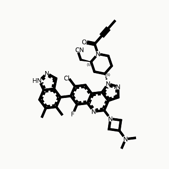 CC#CC(=O)N1CC[C@H](n2ncc3c(N4CC(N(C)C)C4)nc4c(F)c(-c5c(C)c(C)cc6[nH]ncc56)c(Cl)cc4c32)C[C@H]1CC#N